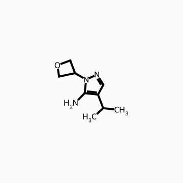 CC(C)c1cnn(C2COC2)c1N